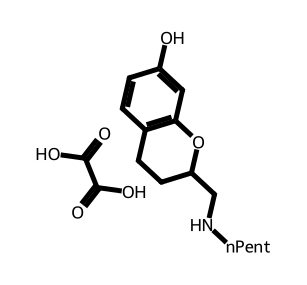 CCCCCNCC1CCc2ccc(O)cc2O1.O=C(O)C(=O)O